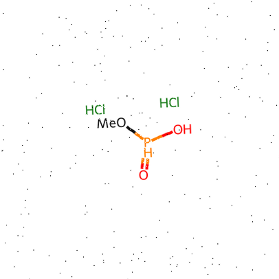 CO[PH](=O)O.Cl.Cl